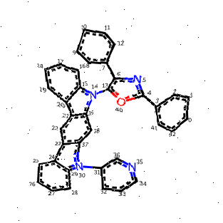 c1ccc(-c2nc(-c3ccccc3)c(-n3c4ccccc4c4cc5c6ccccc6n(-c6cccnc6)c5cc43)o2)cc1